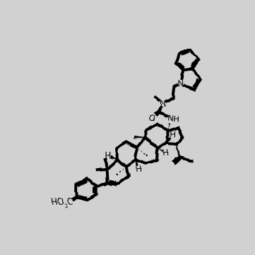 C=C(C)[C@@H]1CC[C@]2(NC(=O)N(C)CCn3ccc4ccccc43)CC[C@]3(C)[C@H](CC[C@@H]4[C@@]5(C)CC=C(c6ccc(C(=O)O)cc6)C(C)(C)[C@@H]5CC[C@]43C)[C@@H]12